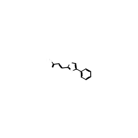 NC(=O)/C=C/c1nc(-c2ccccc2)cs1